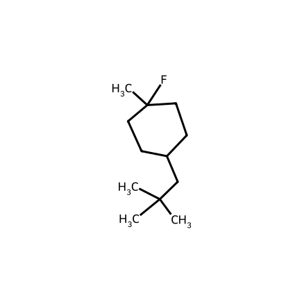 CC(C)(C)CC1CCC(C)(F)CC1